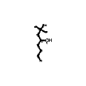 CCCCC(O)CC(C)(C)C